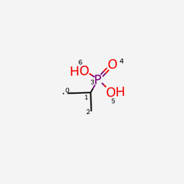 [CH2]C(C)P(=O)(O)O